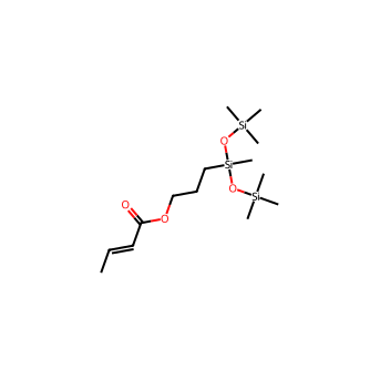 CC=CC(=O)OCCC[Si](C)(O[Si](C)(C)C)O[Si](C)(C)C